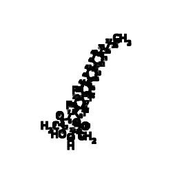 C=C(CO)C(=O)CCC(COC(=O)C(=C)CO)c1c(F)cc(-c2c(F)cc(C3CCC(C4CCC(CCCCC)CC4)CC3)cc2F)cc1F